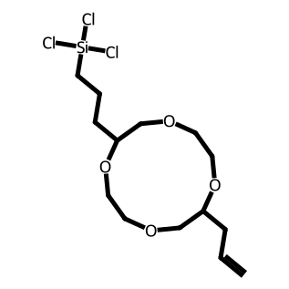 C=CCC1COCCOC(CCC[Si](Cl)(Cl)Cl)COCCO1